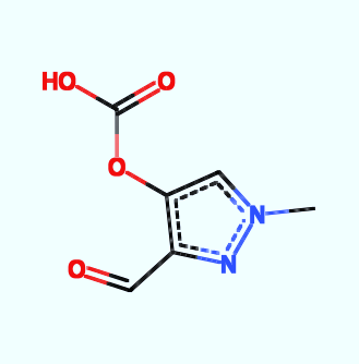 Cn1cc(OC(=O)O)c(C=O)n1